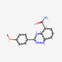 COc1ccc(-c2nnc3cccc(C(N)=O)c3n2)cc1